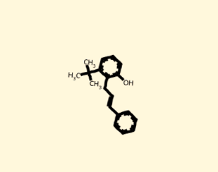 CC(C)(C)c1cccc(O)c1CC=Cc1ccccc1